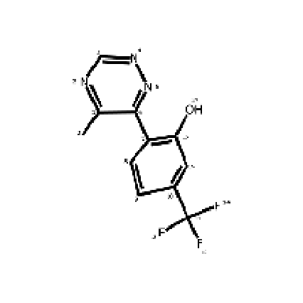 Cc1ncnnc1-c1ccc(C(F)(F)F)cc1O